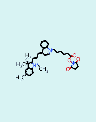 CC[N+]1=C(/C=C/C=C2\C=CN(CCCCCC(=O)ON3C(=O)CCC3=O)c3ccccc32)C(C)(C)c2cc(C)ccc21